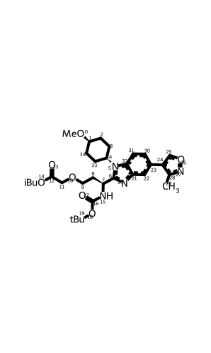 CO[C@H]1CC[C@H](n2c([C@H](CCOCC(=O)OCC(C)C)NC(=O)OC(C)(C)C)nc3cc(-c4conc4C)ccc32)CC1